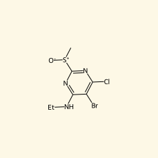 CCNc1nc([S+](C)[O-])nc(Cl)c1Br